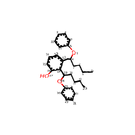 CCCCC(Oc1ccccc1)c1cccc(O)c1C(CCCC)Oc1ccccc1